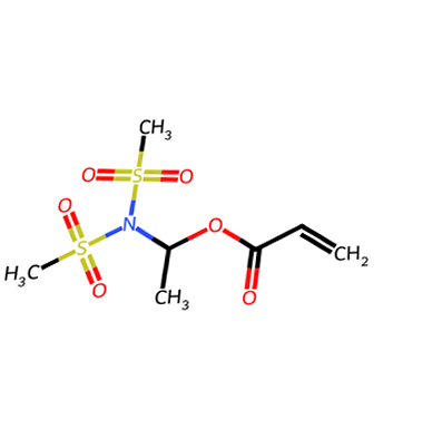 C=CC(=O)OC(C)N(S(C)(=O)=O)S(C)(=O)=O